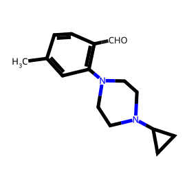 Cc1ccc(C=O)c(N2CCN(C3CC3)CC2)c1